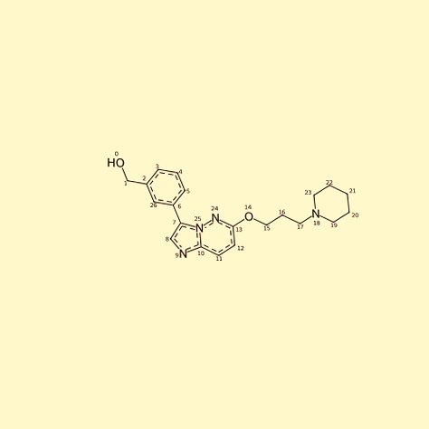 OCc1cccc(-c2cnc3ccc(OCCCN4CCCCC4)nn23)c1